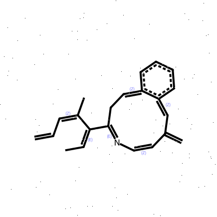 C=C\C=C(C)/C(=C\C)C1=N/C=C\C(=C)/C=c2/cccc/c2=C/C\1